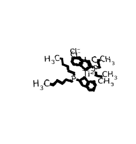 CCCCCCP(CCCCCC)C1=Cc2ccccc2[CH]1[Ti+2][CH]1C(P(CC(C)C)CC(C)C)=Cc2ccccc21.[Cl-].[Cl-]